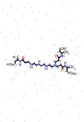 CCCCCCCCCCCC(C)NC(=O)CCNCCNCCNCCN(CCC(=O)NC(C)CCCCCCCCCCC)CCC(=O)NC(C)CCCCCCCCCCC